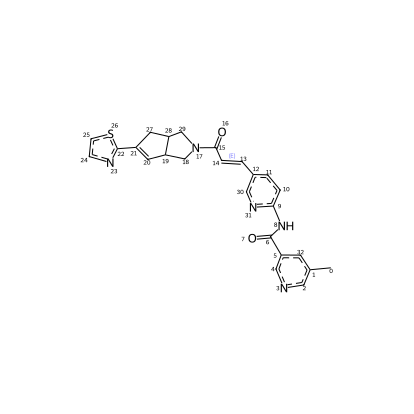 Cc1cncc(C(=O)Nc2ccc(/C=C/C(=O)N3CC4C=C(c5nccs5)CC4C3)cn2)c1